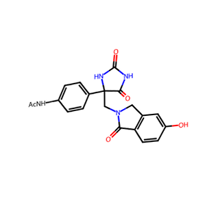 CC(=O)Nc1ccc(C2(CN3Cc4cc(O)ccc4C3=O)NC(=O)NC2=O)cc1